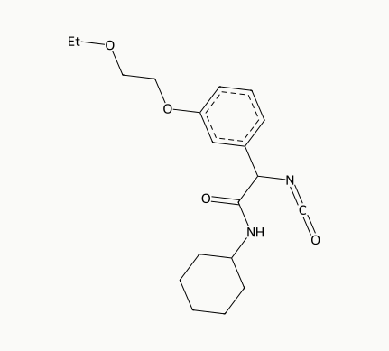 CCOCCOc1cccc(C(N=C=O)C(=O)NC2CCCCC2)c1